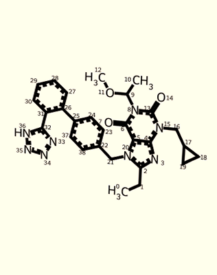 CCc1nc2c(c(=O)n(C(C)OC)c(=O)n2CC2CC2)n1Cc1ccc(-c2ccccc2-c2nnn[nH]2)cc1